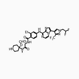 CCc1cc(Nc2nccn3c(-c4cn(CC(F)F)nc4C(F)(F)F)cnc23)ccc1C(=O)NCC(=O)N(C)C1(OC=O)CCNCC1